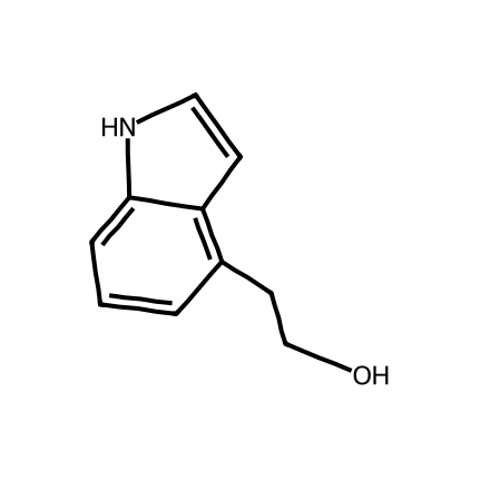 OCCc1cccc2[nH]ccc12